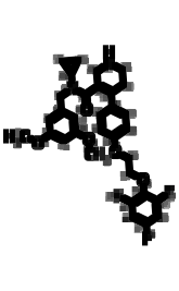 COc1cc(CN(C(=O)C2=C(c3ccc(OCCOc4c(F)cc(F)cc4F)cc3)CCNC2)C2CC2)cc(OC)c1